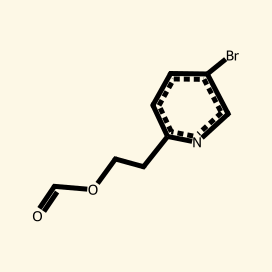 O=COCCc1ccc(Br)cn1